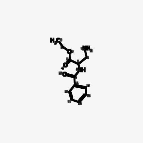 CCOC(=O)C(CN)NC(=O)c1ccccc1